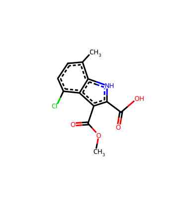 COC(=O)c1c(C(=O)O)[nH]c2c(C)ccc(Cl)c12